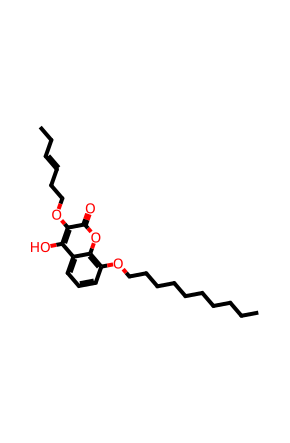 CCC=CCCOc1c(O)c2cccc(OCCCCCCCCCC)c2oc1=O